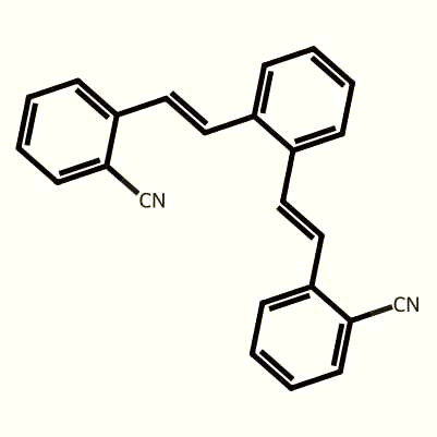 N#Cc1ccccc1/C=C/c1ccccc1/C=C/c1ccccc1C#N